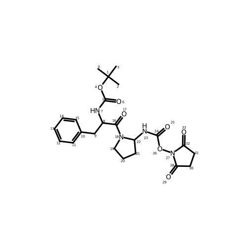 CC(C)(C)OC(=O)NC(Cc1ccccc1)C(=O)N1CCCC1NC(=O)ON1C(=O)CCC1=O